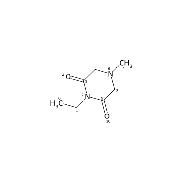 CCN1C(=O)CN(C)CC1=O